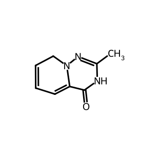 CC1=NN2CC=CC=C2C(=O)N1